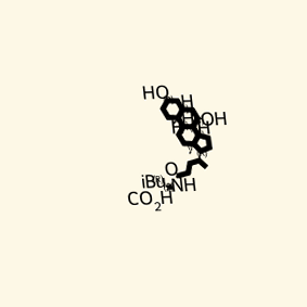 CC[C@@H](C)[C@H](NC(=O)CCC(C)[C@H]1CC[C@H]2[C@@H]3[C@@H](O)C[C@@H]4C[C@H](O)CC[C@]4(C)[C@H]3CC[C@]12C)C(=O)O